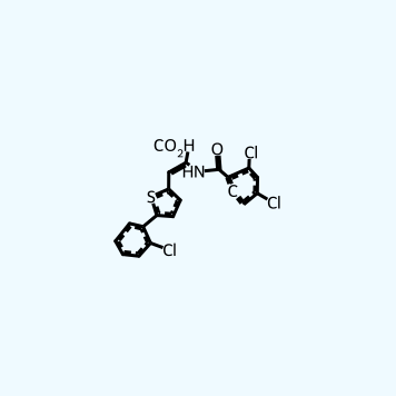 O=C(O)/C(=C/c1ccc(-c2ccccc2Cl)s1)NC(=O)c1ccc(Cl)cc1Cl